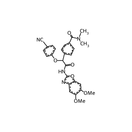 COc1cc2nc(NC(=O)C(Oc3ccc(C#N)cc3)c3ccc(C(=O)N(C)C)cc3)oc2cc1OC